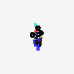 C[C@H](Nc1ncnc2[nH]ccc(=O)c12)c1c(Br)c2cccc(-c3ccc(F)cc3)c2c(=O)n1-c1ccccc1